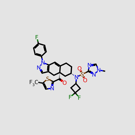 Cn1cnc(S(=O)(=O)N(C2CC(F)(F)C2)[C@H]2CCC3=Cc4c(cnn4-c4ccc(F)cc4)C[C@]3(C(=O)c3ncc(C(F)(F)F)s3)C2)n1